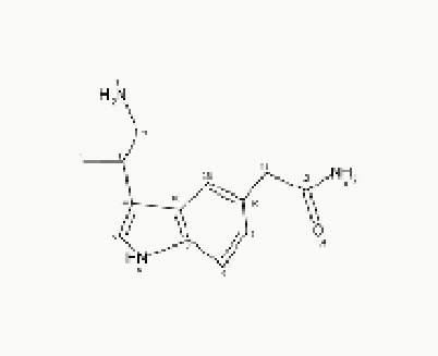 CC(CN)c1c[nH]c2ccc(CC(N)=O)cc12